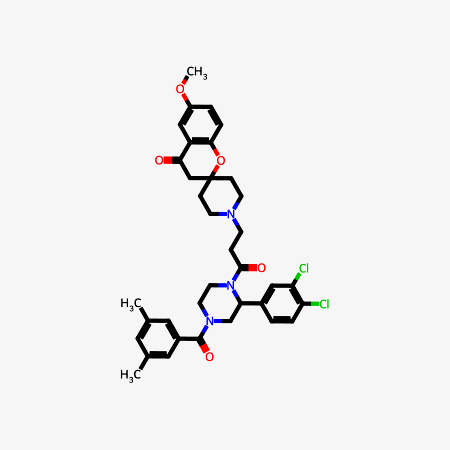 COc1ccc2c(c1)C(=O)CC1(CCN(CCC(=O)N3CCN(C(=O)c4cc(C)cc(C)c4)CC3c3ccc(Cl)c(Cl)c3)CC1)O2